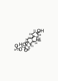 CC(=O)OCC(=O)[C@@]1(O)[C@H](C)C=C2c3cc(F)c4cc(O)ccc4c3CC[C@@]21C